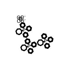 O=P([O-])([O-])[O-].c1ccc([P+](c2ccccc2)(c2ccccc2)C2CCCCCC2)cc1.c1ccc([P+](c2ccccc2)(c2ccccc2)C2CCCCCC2)cc1.c1ccc([P+](c2ccccc2)(c2ccccc2)C2CCCCCC2)cc1